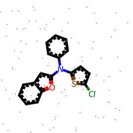 Clc1ccc(N(c2ccccc2)c2cc3ccccc3o2)s1